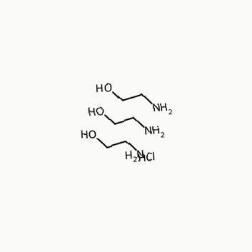 Cl.NCCO.NCCO.NCCO